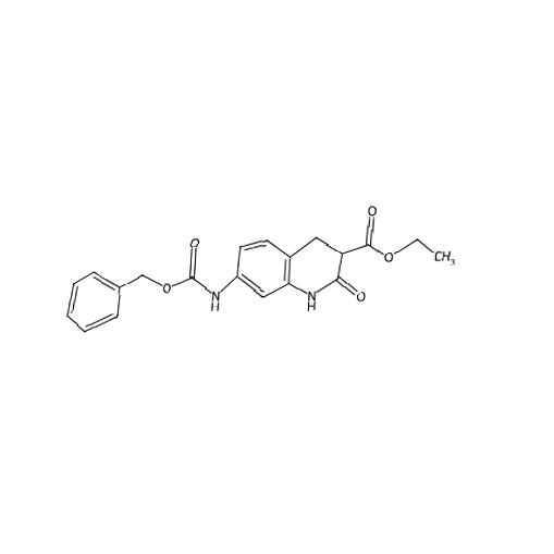 CCOC(=O)C1Cc2ccc(NC(=O)OCc3ccccc3)cc2NC1=O